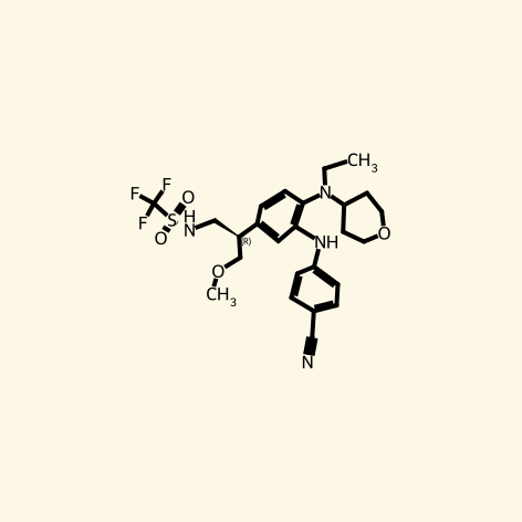 CCN(c1ccc([C@H](CNS(=O)(=O)C(F)(F)F)COC)cc1Nc1ccc(C#N)cc1)C1CCOCC1